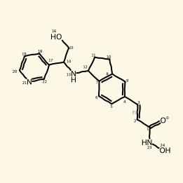 O=C(/C=C/c1ccc2c(c1)CCC2NC(CO)c1cccnc1)NO